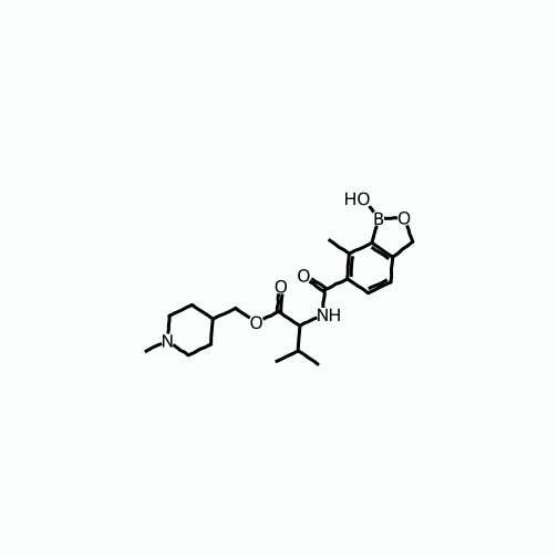 Cc1c(C(=O)NC(C(=O)OCC2CCN(C)CC2)C(C)C)ccc2c1B(O)OC2